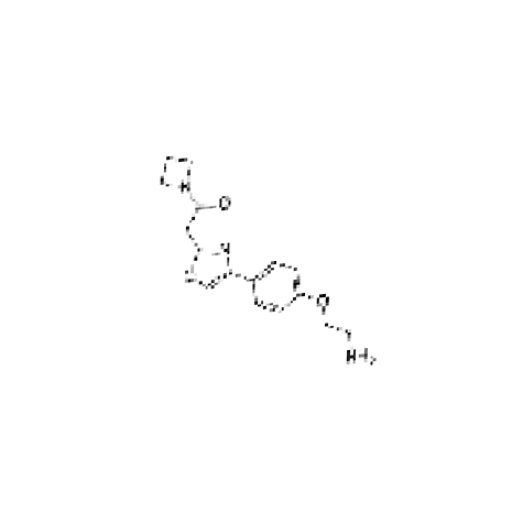 NCCOc1ccc(-c2coc(CC(=O)N3CCC3)n2)cc1